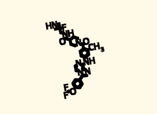 Cc1cc(Nc2nccn3c(-c4ccc(OC(F)F)cc4)cnc23)ccc1C(=O)N1CCC(C(=O)NCC2(F)CNC2)CC1